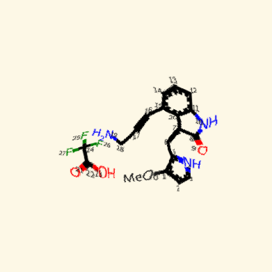 COc1cc[nH]c1C=C1C(=O)Nc2cccc(C#CCN)c21.O=C(O)C(F)(F)F